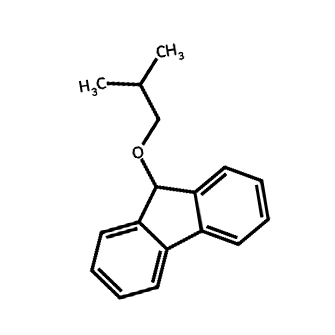 CC(C)COC1c2ccccc2-c2ccccc21